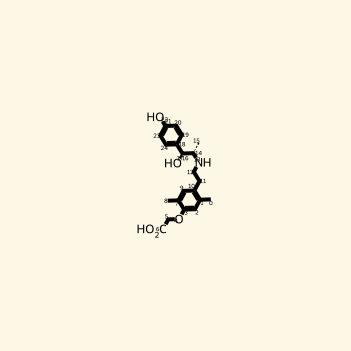 Cc1cc(OCC(=O)O)c(C)cc1CCN[C@@H](C)[C@@H](O)c1ccc(O)cc1